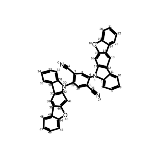 N#Cc1cc(-n2c3ccccc3c3cc4c(cc32)oc2ccccc24)c(C#N)cc1-n1c2ccccc2c2cc3c(cc21)oc1ccccc13